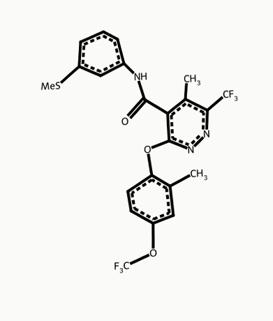 CSc1cccc(NC(=O)c2c(Oc3ccc(OC(F)(F)F)cc3C)nnc(C(F)(F)F)c2C)c1